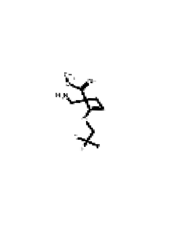 COC(=N)C1(CN)CC=C1OCC(F)(F)F